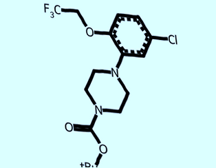 CC(C)(C)OC(=O)N1CCN(c2cc(Cl)ccc2OCC(F)(F)F)CC1